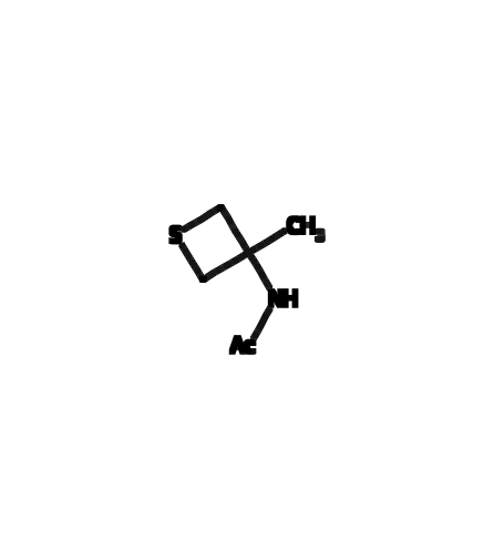 [CH2]C(=O)NC1(C)CSC1